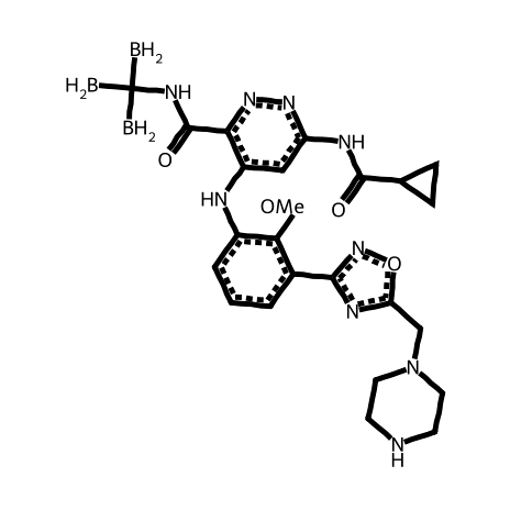 BC(B)(B)NC(=O)c1nnc(NC(=O)C2CC2)cc1Nc1cccc(-c2noc(CN3CCNCC3)n2)c1OC